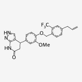 C=CCc1ccc(COc2ccc(C3CC(=O)Nc4n[nH]cc43)cc2OC)c(C(F)(F)F)c1